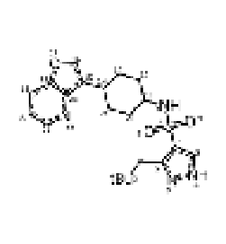 CC(C)(C)Cc1n[nH]cc1S(=O)(=O)NC1CCC(c2coc3cccnc23)CC1